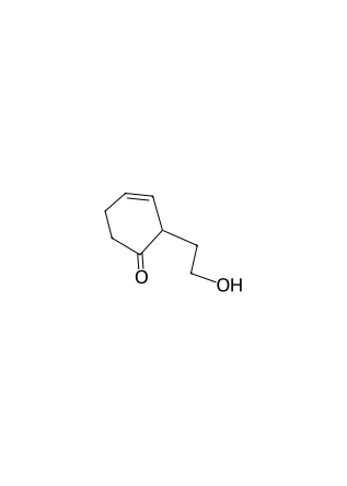 O=C1CCC=CC1CCO